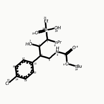 CCCC(C(O)C(CNC(=O)OC(C)(C)C)c1ccc(Cl)cc1)P(=O)(O)CC